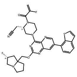 C=C(F)C(=O)N1CCN(c2nc(OCC34CCCN3C[C@H](F)C4)nc3cc(-c4cccc5ccsc45)cnc23)C[C@@H]1CC#N